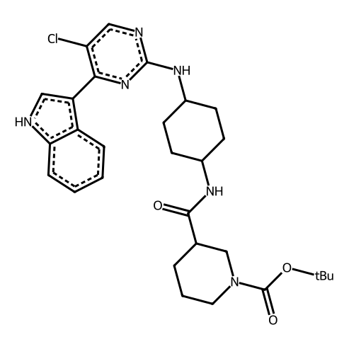 CC(C)(C)OC(=O)N1CCCC(C(=O)NC2CCC(Nc3ncc(Cl)c(-c4c[nH]c5ccccc45)n3)CC2)C1